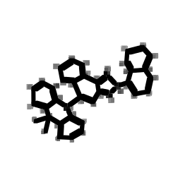 CC1(C)c2ccccc2N(c2cc3nn(-c4cccc5ccccc45)nc3c3ccccc23)c2ccccc21